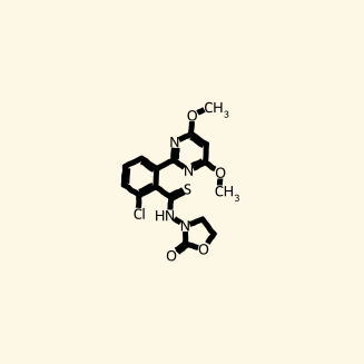 COc1cc(OC)nc(-c2cccc(Cl)c2C(=S)NN2CCOC2=O)n1